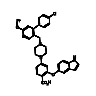 CC(C)Oc1cc(-c2ccc(Cl)cc2)c(CN2CCN(c3ccc(C(=O)O)c(Oc4ccc5[nH]ccc5c4)c3)CC2)cn1